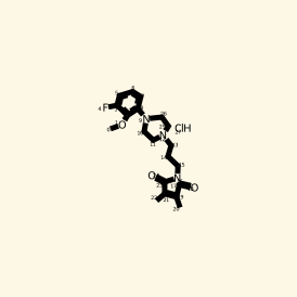 COc1c(F)cccc1N1CCN(CCCN2C(=O)C(C)=C(C)C2=O)CC1.Cl